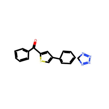 C1N=NN=N1.O=C(c1ccccc1)c1cc(-c2ccccc2)cs1